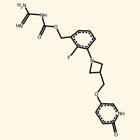 N=C(N)NC(=O)OCc1cccc(N2CC(COc3ccc(=O)[nH]c3)C2)c1F